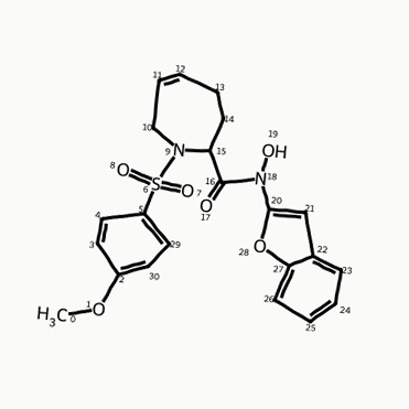 COc1ccc(S(=O)(=O)N2CC=CCCC2C(=O)N(O)c2cc3ccccc3o2)cc1